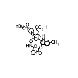 CCCCOC(=O)N1CCN(C(=O)C(CCC(=O)O)NC(=O)c2cc(OCC(=O)N3CCCC3C(=O)NC3CCC3)c3ccc(C)cc3n2)CC1